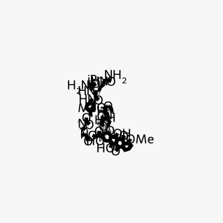 COc1cccc2c1C(=O)c1c(O)c3c(c(O)c1C2=O)C[C@@](O)(C(=O)COC(=O)N(C)CCN(C)C(=O)OCc1ccc(NC(=O)[C@H](CCCNC(N)=O)NC(=O)[C@@H](N)C(C)C)cc1)C[C@@H]3O[C@H]1C[C@H]2[C@H](O[C@@H]3[C@@H](OC)OCCN32)[C@H](C)O1